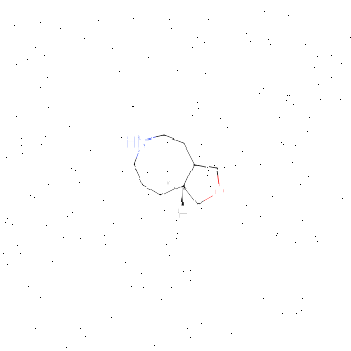 C1CNCCC2COC[C@@H]2C1